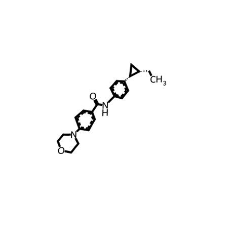 CC[C@H]1C[C@H]1c1ccc(NC(=O)c2ccc(N3CCOCC3)cc2)cc1